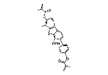 C=C(C)C(=O)Oc1ccc(-c2ccc3c(sc4c(C)c(OC(=O)C(=C)C)ccc43)c2OC)cc1